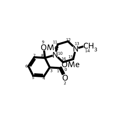 COC(=O)C1C=CC=CC1(OC)N1CCN(C)CC1